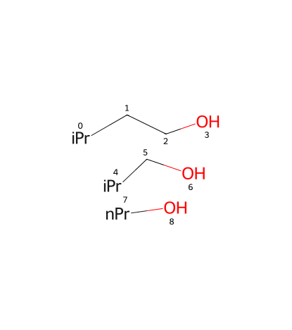 CC(C)CCO.CC(C)CO.CCCO